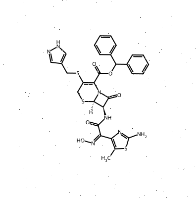 Cc1sc(N)nc1/C(=N/O)C(=O)N[C@@H]1C(=O)N2C(C(=O)OC(c3ccccc3)c3ccccc3)=C(SCc3cn[nH]c3)CS[C@H]12